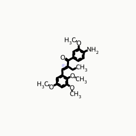 CC/C(=C\c1cc(OC)cc(OC)c1OC)C(=O)c1ccc(N)c(OC)c1